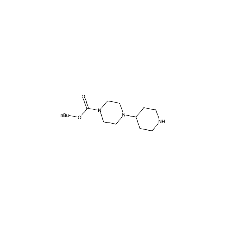 CCCCOC(=O)N1CCN(C2CCNCC2)CC1